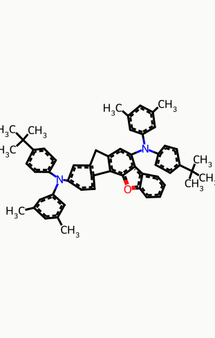 Cc1cc(C)cc(N(c2ccc(C(C)(C)C)cc2)c2ccc3c(c2)Cc2cc(N(c4ccc(C(C)(C)C)cc4)c4cc(C)cc(C)c4)c4c(oc5ccccc54)c2-3)c1